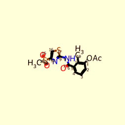 CC(=O)Oc1cccc(C(=O)Nc2nc(S(C)(=O)=O)cs2)c1C